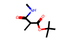 CNC(=O)C(C)C(=O)OC(C)(C)C